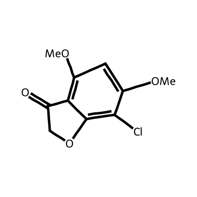 COc1cc(OC)c2c(c1Cl)OCC2=O